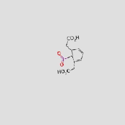 O=C(O)Cc1cccc(CC(=O)O)c1I(=O)=O